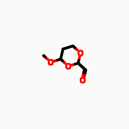 COC1CCOC(C=O)O1